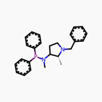 C[C@@H]1C(N(C)P(c2ccccc2)c2ccccc2)CCN1Cc1ccccc1